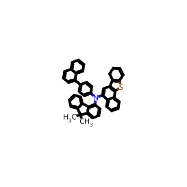 CC1(C)c2ccccc2-c2c(N(c3ccc(-c4cccc5ccccc45)cc3)c3cc4c5c(sc4c4ccccc34)C=CCC5)cccc21